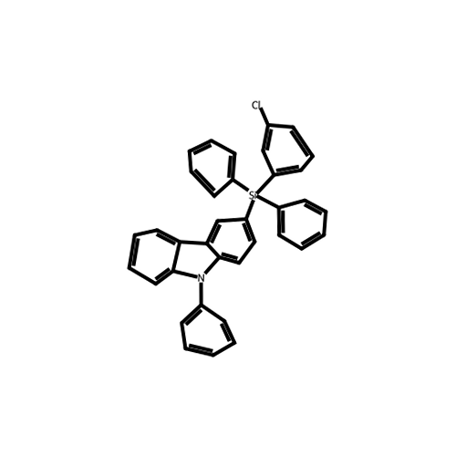 Clc1cccc([Si](c2ccccc2)(c2ccccc2)c2ccc3c(c2)c2ccccc2n3-c2ccccc2)c1